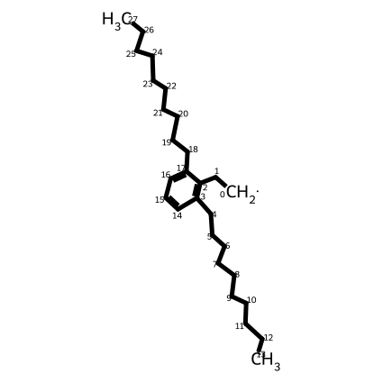 [CH2]Cc1c(CCCCCCCCCC)cccc1CCCCCCCCCC